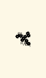 Cn1c2ccccc2c2cc(-c3c4ccccc4c(-c4ccc5c(c4)C(C)(C)c4ccccc4-5)c4cc(-c5cccc6ccccc56)ccc34)ccc21